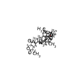 CCC1C(=O)OCc2c1cc1n(c2=O)Cc2cc3c(CN(C)C)c(OC(=O)N4C5CC4CN(C(=O)OC(C)(C)C)C5)ccc3nc2-1